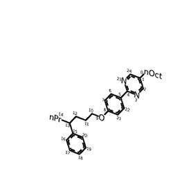 CCCCCCCCc1cnc(-c2ccc(OCCCC(CCC)c3ccccc3)cc2)nc1